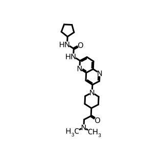 CN(C)CC(=O)C1CCN(c2cnc3ccc(NC(=O)NC4CCCC4)nc3c2)CC1